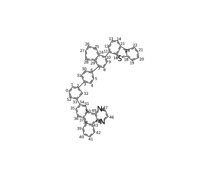 c1cc(-c2ccc(-c3ccc(-c4cccc5c4sc4ccccc45)c4ccccc34)cc2)cc(-c2ccc3c4ccccc4c4nccnc4c3c2)c1